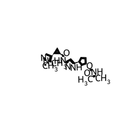 Cc1c([C@@H]2C[C@H]2C(=O)Nc2cc([C@H]3CC[C@@H](OC(=O)NC(C)C)C3)[nH]n2)cnn1C